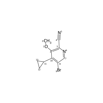 COc1c(C#N)ncc(Br)c1C1CC1